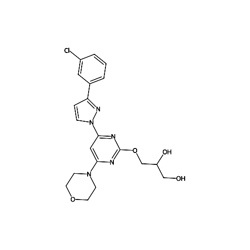 OCC(O)COc1nc(N2CCOCC2)cc(-n2ccc(-c3cccc(Cl)c3)n2)n1